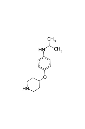 CC(C)Nc1ccc(OC2CCNCC2)cc1